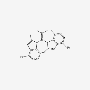 CC1=Cc2c(C(C)C)ccc(C)c2[CH]1[Zr]([CH]1C(C)=Cc2c(C(C)C)ccc(C)c21)=[Si](C)C